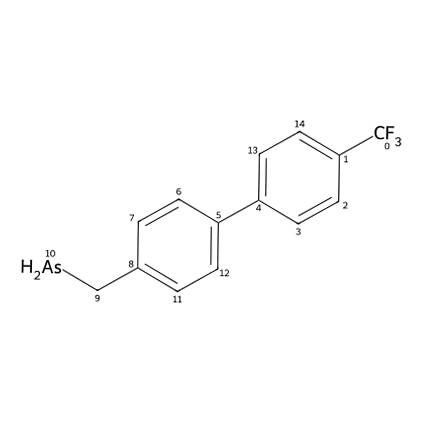 FC(F)(F)c1ccc(-c2ccc(C[AsH2])cc2)cc1